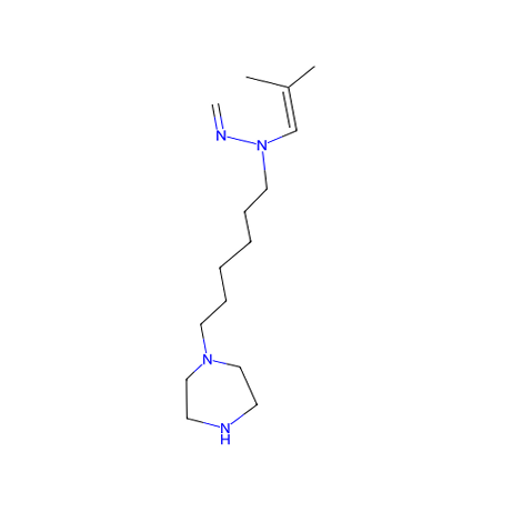 C=NN(C=C(C)C)CCCCCCN1CCNCC1